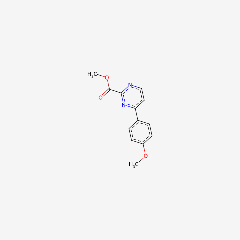 COC(=O)c1nccc(-c2ccc(OC)cc2)n1